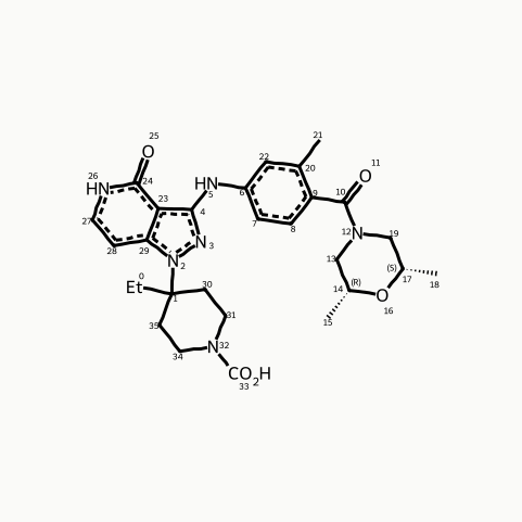 CCC1(n2nc(Nc3ccc(C(=O)N4C[C@@H](C)O[C@@H](C)C4)c(C)c3)c3c(=O)[nH]ccc32)CCN(C(=O)O)CC1